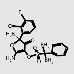 BC(B)(c1ccccc1)S(=O)(=O)OC1=C(N)O[C@@](B)(c2cccc(F)c2Cl)C1=O